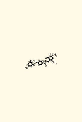 Cc1cc(C)c(CNC(=O)c2ccc([C@H](C)Oc3cccc(C#N)c3)cc2)c(=O)[nH]1